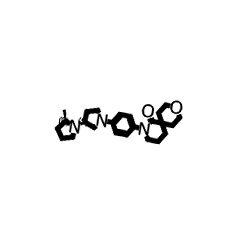 C[C@@H]1CCCN1[C@H]1CCN(c2ccc(N3CCCC4(CCOCC4)C3=O)cc2)C1